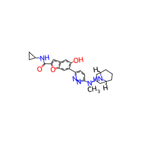 CN(c1ccc(-c2cc3oc(C(=O)NC4CC4)cc3cc2O)nn1)[C@@H]1C[C@H]2CCC[C@@H](C1)N2